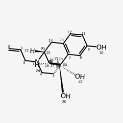 C=CCN1CC[C@@]23c4cc(O)ccc4C[C@@H]1[C@@H]2C=C[C@H](O)[C@@H]3O